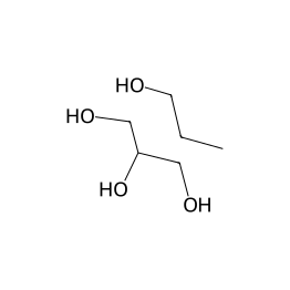 CCCO.OCC(O)CO